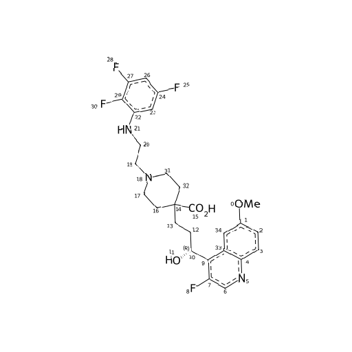 COc1ccc2ncc(F)c([C@H](O)CCC3(C(=O)O)CCN(CCNc4cc(F)cc(F)c4F)CC3)c2c1